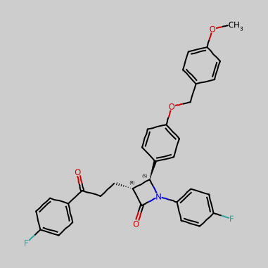 COc1ccc(COc2ccc([C@@H]3[C@@H](CCC(=O)c4ccc(F)cc4)C(=O)N3c3ccc(F)cc3)cc2)cc1